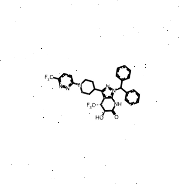 O=C1Nc2c(c(C3CCN(c4ccc(C(F)(F)F)nn4)CC3)nn2C(c2ccccc2)c2ccccc2)[C@@H](C(F)(F)F)[C@@H]1O